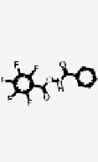 O=C(NOC(=O)c1c(F)c(F)c(F)c(F)c1F)c1ccccc1